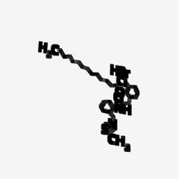 Br.CCCCCCCCCCCCCCOc1c(Cl)cccc1CC(=O)Nc1ccccc1CN1C=C(C)SC1